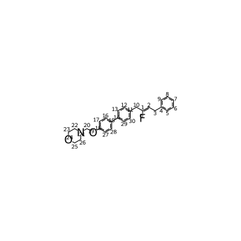 F/C(=C\Cc1ccccc1)Cc1ccc(-c2ccc(OCN3CCOCC3)cc2)cc1